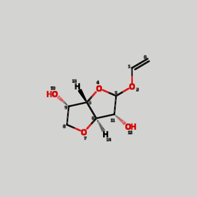 C=COC1O[C@@H]2[C@H](OC[C@@H]2O)[C@H]1O